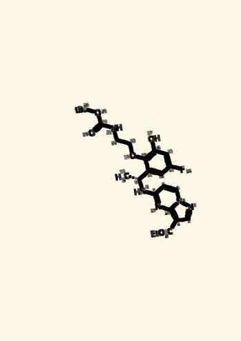 CCOC(=O)c1cnn2ccc(N[C@H](C)c3cc(F)cc(O)c3OCCNC(=O)OC(C)(C)C)nc12